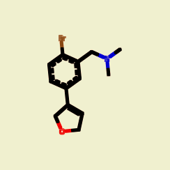 CN(C)Cc1cc(C2=CCOC2)ccc1Br